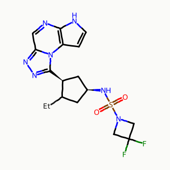 CCC1C[C@H](NS(=O)(=O)N2CC(F)(F)C2)C[C@@H]1c1nnc2cnc3[nH]ccc3n12